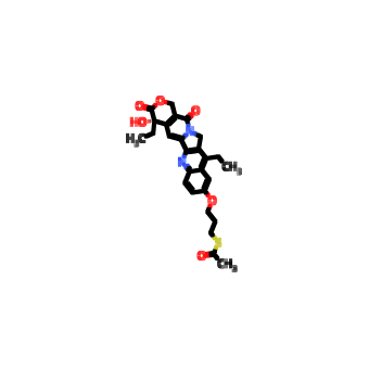 CCc1c2c(nc3ccc(OCCCSC(C)=O)cc13)-c1cc3c(c(=O)n1C2)COC(=O)[C@]3(O)CC